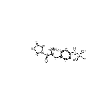 CS(=O)(=O)Nc1ccc(CC(N)C(=O)N2CCSC2)cc1